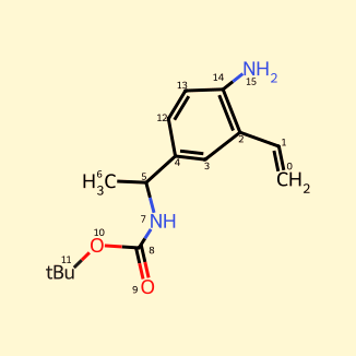 C=Cc1cc(C(C)NC(=O)OC(C)(C)C)ccc1N